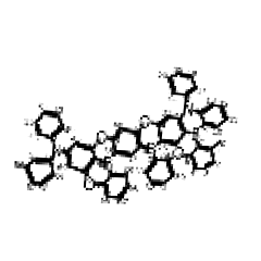 Cc1cccc(C)c1B1c2ccccc2N(c2ccccc2)c2cc3c4c(c21)Oc1ccccc1B4c1cc2c(cc1O3)Oc1cc(N(c3ccccc3)c3ccccc3)cc3c1B2c1ccccc1O3